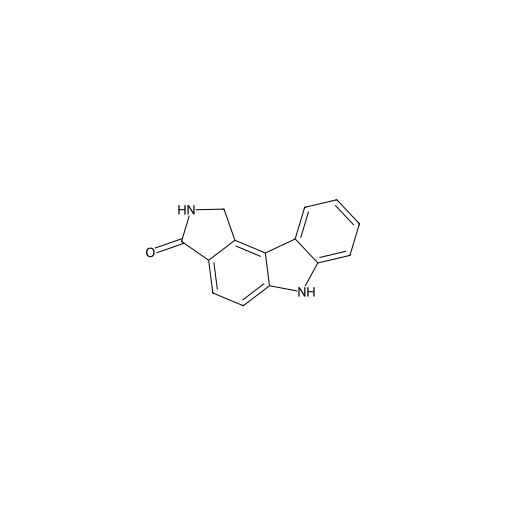 O=C1NCc2c1ccc1[nH]c3ccccc3c21